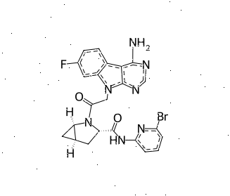 Nc1ncnc2c1c1ccc(F)cc1n2CC(=O)N1[C@@H]2C[C@@H]2C[C@H]1C(=O)Nc1cccc(Br)n1